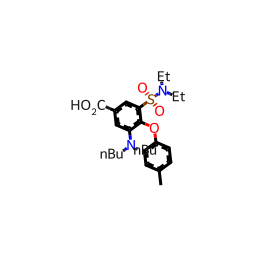 CCCCN(CCCC)c1cc(C(=O)O)cc(S(=O)(=O)N(CC)CC)c1Oc1ccc(C)cc1